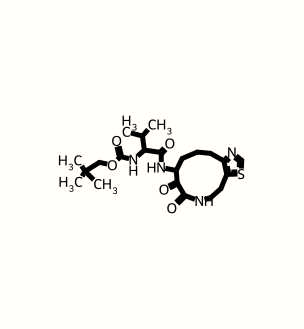 CC(C)C(NC(=O)OCC(C)(C)C)C(=O)NC1CCCc2ncsc2CCNC(=O)C1=O